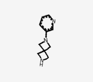 c1cncc(N2CC3(CNC3)C2)c1